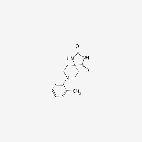 Cc1ccccc1N1CCC2(CC1)NC(=O)NC2=O